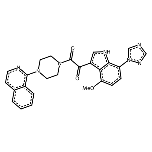 COc1ccc(-n2cncn2)c2[nH]cc(C(=O)C(=O)N3CCN(c4nccc5ccccc45)CC3)c12